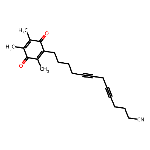 CC1=C(C)C(=O)C(CCCCC#CCC#CCCCC#N)=C(C)C1=O